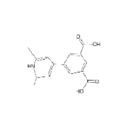 CC1=CC(c2cc(C(=O)O)cc(C(=O)O)c2)=CC(C)N1